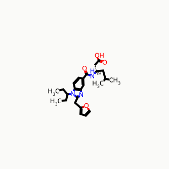 CCC(CC)n1c(Cc2ccco2)nc2cc(C(=O)N[C@H](CC(=O)O)CC(C)C)ccc21